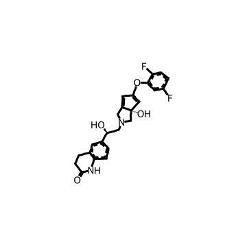 O=C1CCc2cc([C@@H](O)CN3CC4=CC(Oc5cc(F)ccc5F)=C[C@@]4(O)C3)ccc2N1